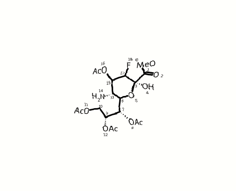 COC(=O)[C@@]1(O)OC([C@H](OC(C)=O)[C@@H](COC(C)=O)OC(C)=O)[C@H](N)C(OC(C)=O)C1F